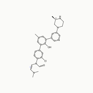 Cc1cc(-c2cncc(N3CCN[C@H](C)C3)c2)c(O)c(-c2ccc(N(C=O)/C=C\N(C)C)c(Cl)c2)c1